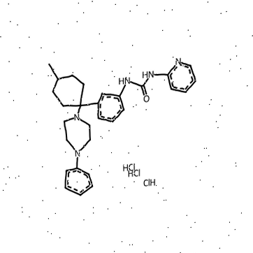 CC1CCC(c2cccc(NC(=O)Nc3ccccn3)c2)(N2CCN(c3ccccc3)CC2)CC1.Cl.Cl.Cl